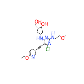 CCOC1=CCC(C#Cc2c(Cl)nc(NCCOC)nc2N[C@@H]2C[C@H](CO)[C@@H](O)C2)C=N1